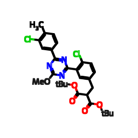 COc1nc(-c2ccc(C)c(Cl)c2)nc(-c2cc(CC(C(=O)OC(C)(C)C)C(=O)OC(C)(C)C)ccc2Cl)n1